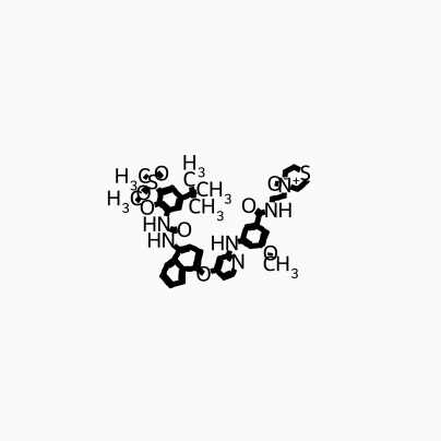 COc1cc(Nc2cc(Oc3ccc(NC(=O)Nc4cc(C(C)(C)C)cc(S(C)(=O)=O)c4OC)c4ccccc34)ccn2)cc(C(=O)NCC[N+]2([O-])CCSCC2)c1